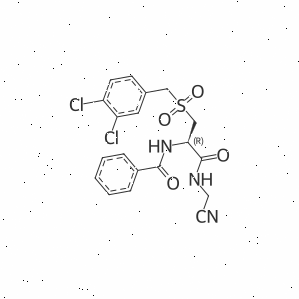 N#CCNC(=O)[C@H](CS(=O)(=O)Cc1ccc(Cl)c(Cl)c1)NC(=O)c1ccccc1